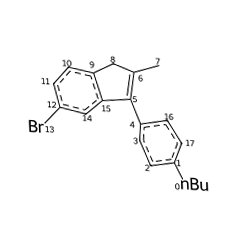 CCCCc1ccc(C2=C(C)Cc3ccc(Br)cc32)cc1